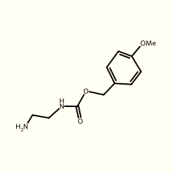 COc1ccc(COC(=O)NCCN)cc1